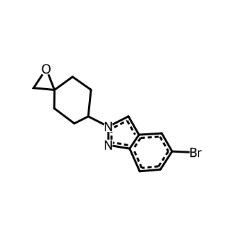 Brc1ccc2nn(C3CCC4(CC3)CO4)cc2c1